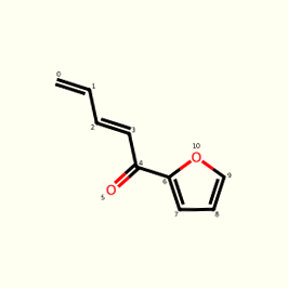 C=CC=CC(=O)c1ccco1